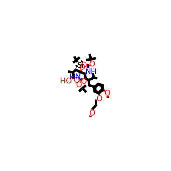 COCCCOc1cc(CC(CC(NC(=O)OC(C)(C)C)C(CC(C)C(=O)O)(NC(=O)OC(C)(C)C)O[Si](C)(C)C(C)(C)C)C(C)C)ccc1OC